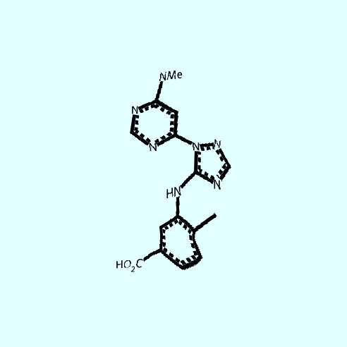 CNc1cc(-n2ncnc2Nc2cc(C(=O)O)ccc2C)ncn1